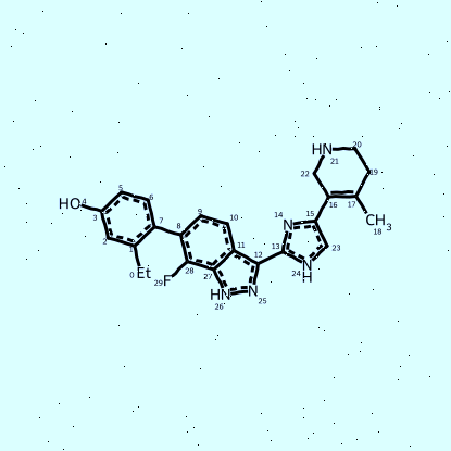 CCc1cc(O)ccc1-c1ccc2c(-c3nc(C4=C(C)CCNC4)c[nH]3)n[nH]c2c1F